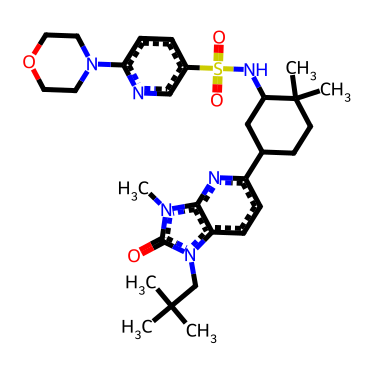 Cn1c(=O)n(CC(C)(C)C)c2ccc(C3CCC(C)(C)C(NS(=O)(=O)c4ccc(N5CCOCC5)nc4)C3)nc21